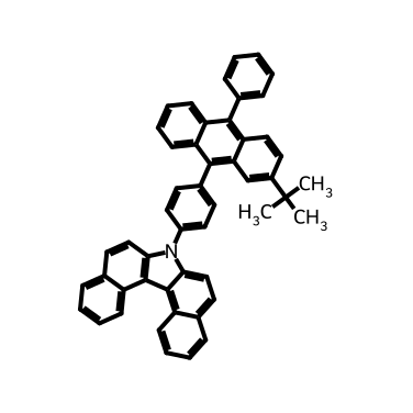 CC(C)(C)c1ccc2c(-c3ccccc3)c3ccccc3c(-c3ccc(-n4c5ccc6ccccc6c5c5c6ccccc6ccc54)cc3)c2c1